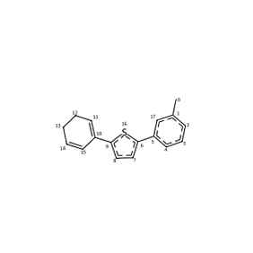 Cc1cccc(-c2ccc(C3=CCCC=C3)s2)c1